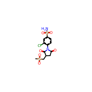 CS(=O)(=O)CC1CC(=O)N(c2ccc(S(N)(=O)=O)cc2Cl)C1=O